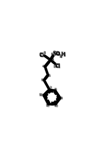 O=S(=O)(O)C(Cl)(Cl)CCCc1ccccc1